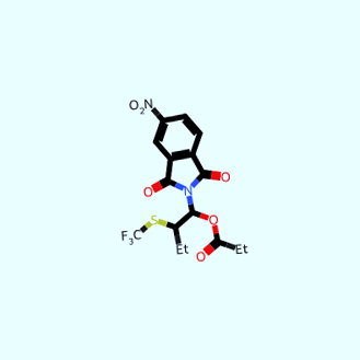 CCC(=O)OC(C(CC)SC(F)(F)F)N1C(=O)c2ccc([N+](=O)[O-])cc2C1=O